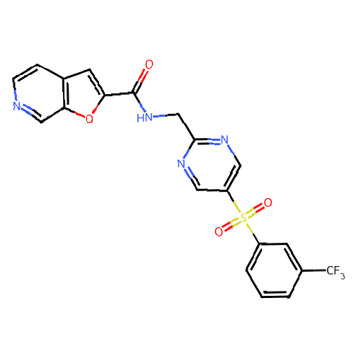 O=C(NCc1ncc(S(=O)(=O)c2cccc(C(F)(F)F)c2)cn1)c1cc2ccncc2o1